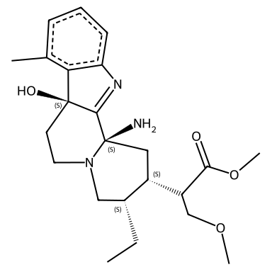 CC[C@@H]1CN2CC[C@@]3(O)C(=Nc4cccc(C)c43)[C@]2(N)C[C@@H]1C(COC)C(=O)OC